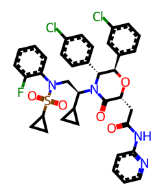 O=C(C[C@H]1O[C@H](c2cccc(Cl)c2)[C@@H](c2ccc(Cl)cc2)N([C@H](CN(c2ccccc2F)S(=O)(=O)C2CC2)C2CC2)C1=O)Nc1ccccn1